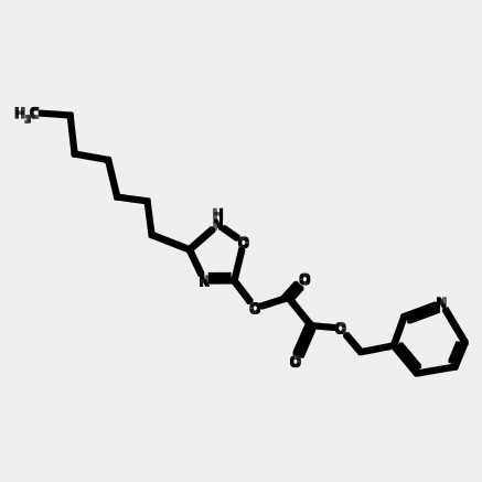 CCCCCCCC1N=C(OC(=O)C(=O)OCc2cccnc2)ON1